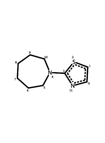 c1csc(N2CCCCCC2)n1